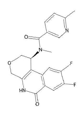 Cc1ccc(C(=O)N(C)[C@@H]2COCc3[nH]c(=O)c4cc(F)c(F)cc4c32)cn1